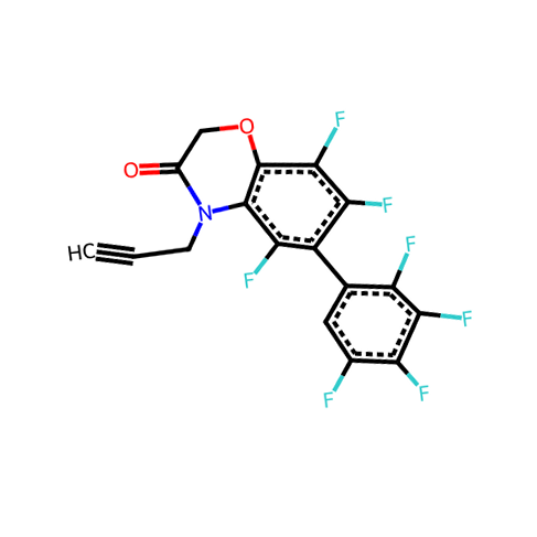 C#CCN1C(=O)COc2c(F)c(F)c(-c3cc(F)c(F)c(F)c3F)c(F)c21